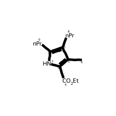 CCCc1[nH]c(C(=O)OCC)c(C)c1CCC